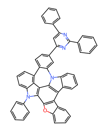 c1ccc(-c2cc(-c3ccc4c5cccc6c5c5c(c7oc8ccccc8c7c7c8ccccc8n(c4c3)c75)n6-c3ccccc3)nc(-c3ccccc3)n2)cc1